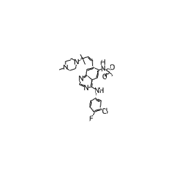 CN1CCN(C(C)(C)/C=C\c2cc3ncnc(Nc4ccc(F)c(Cl)c4)c3cc2NS(C)(=O)=O)CC1